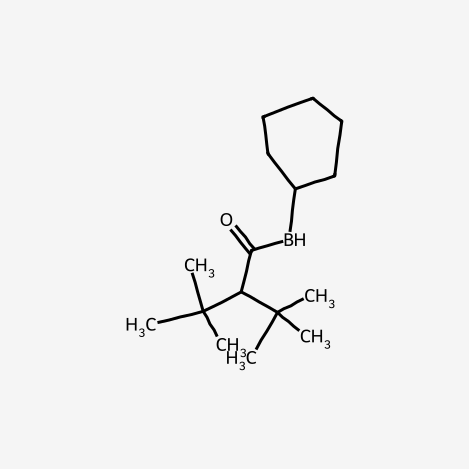 CC(C)(C)C(C(=O)BC1CCCCC1)C(C)(C)C